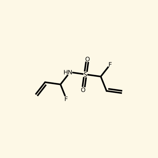 C=CC(F)NS(=O)(=O)C(F)C=C